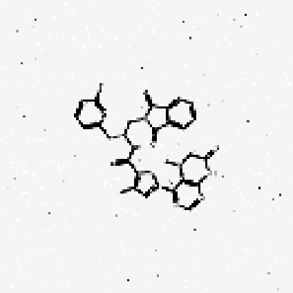 Cc1cc(-c2ncnc3c2N(C)CC(=O)N3)sc1C(=O)N[C@@H](Cc1cccc(F)c1)CN1C(=O)c2ccccc2C1=O